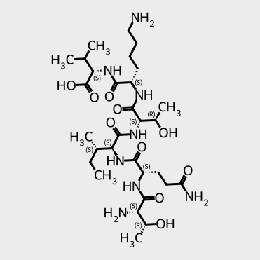 CC[C@H](C)[C@H](NC(=O)[C@H](CCC(N)=O)NC(=O)[C@@H](N)[C@@H](C)O)C(=O)N[C@H](C(=O)N[C@@H](CCCCN)C(=O)N[C@H](C(=O)O)C(C)C)[C@@H](C)O